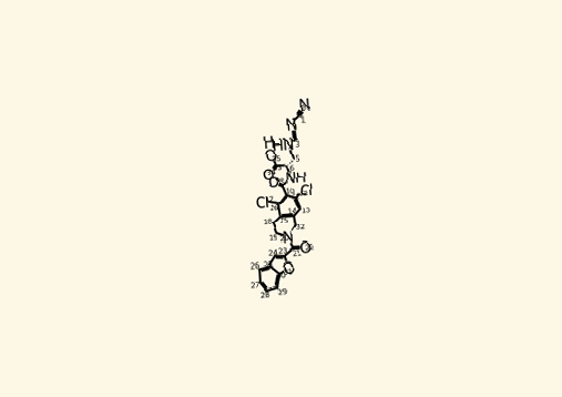 N#C/N=C/NC[C@H](NC(=O)c1c(Cl)cc2c(c1Cl)CCN(C(=O)c1cc3ccccc3o1)C2)C(=O)O